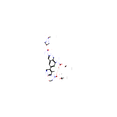 CC(=O)N1CC(OC(=O)Nc2cc3cc(-c4cnc5c(c4C)N(C(=O)OC(C)(C)C)CCO5)c(F)c(NC(=O)OC(C)(C)C)c3cn2)C1